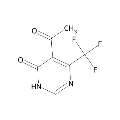 CC(=O)c1c(C(F)(F)F)nc[nH]c1=O